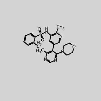 Cc1ccccc1S(=O)(=O)Nc1cc(-c2c(C)ncnc2N2CCOCC2)cnc1C